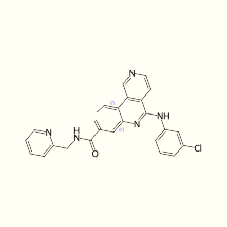 C=C(/C=c1/nc(Nc2cccc(Cl)c2)c2ccncc2/c1=C/C)C(=O)NCc1ccccn1